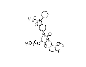 Cc1nc2cc(-n3cc(OC(=O)O)c(=O)n(Cc4cccc(F)c4C(F)(F)F)c3=O)ccc2n1C1CCCCC1